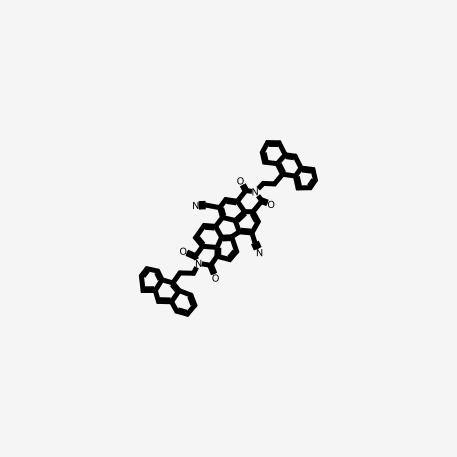 N#Cc1cc2c3c(cc(C#N)c4c5ccc6c7c(ccc(c1c34)c75)C(=O)N(CCc1c3ccccc3cc3ccccc13)C6=O)C(=O)N(CCc1c3ccccc3cc3ccccc13)C2=O